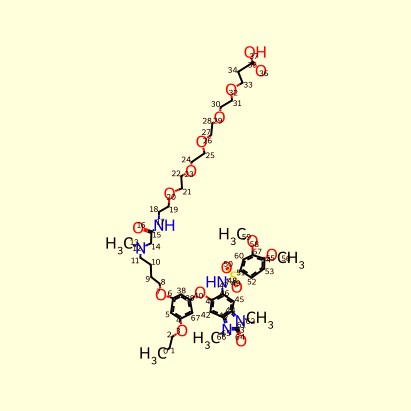 CCCOc1cc(OCCCCN(C)CC(=O)NCCOCCOCCOCCOCCOCCC(=O)O)cc(Oc2cc3c(cc2NS(=O)(=O)c2ccc(OC)c(OC)c2)n(C)c(=O)n3C)c1